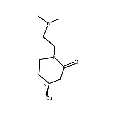 CCC(C)[C@H]1CCN(CCN(C)C)C(=O)C1